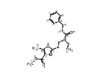 CCN(CCc1nc(C(=O)OC)c(C)o1)C(=O)OCc1ccccc1